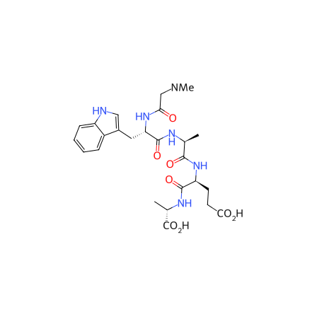 CNCC(=O)N[C@@H](Cc1c[nH]c2ccccc12)C(=O)N[C@@H](C)C(=O)N[C@@H](CCC(=O)O)C(=O)N[C@@H](C)C(=O)O